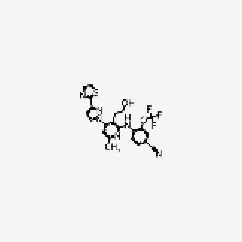 Cc1cc(-n2ccc(-c3nccs3)n2)c(CCO)c(Nc2ccc(C#N)cc2OC(F)(F)F)n1